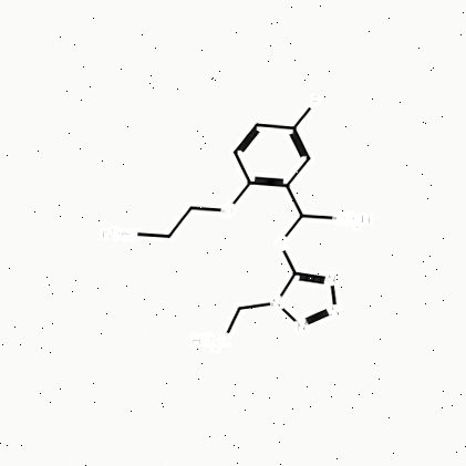 CCCCCCCCCCCCOc1ccc(F)cc1C(Sc1nnnn1CC(=O)O)C(=O)O